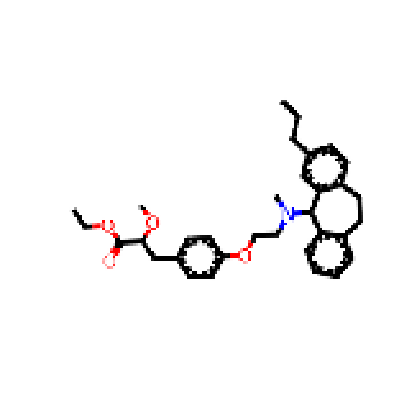 CCCc1ccc2c(c1)C(N(C)CCOc1ccc(CC(OC)C(=O)OCC)cc1)c1ccccc1CC2